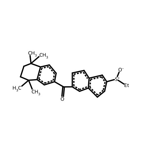 CC[S+]([O-])c1ccc2cc(C(=O)c3ccc4c(c3)C(C)(C)CCC4(C)C)ccc2c1